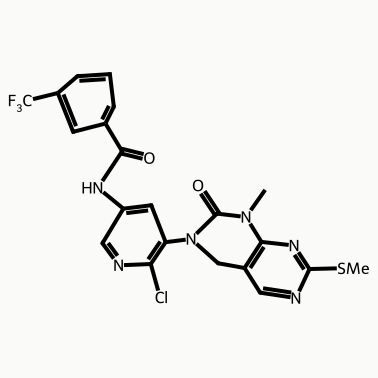 CSc1ncc2c(n1)N(C)C(=O)N(c1cc(NC(=O)c3cccc(C(F)(F)F)c3)cnc1Cl)C2